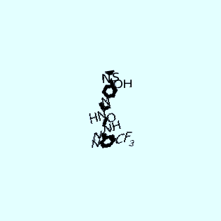 O=C(CNc1ncnc2ccc(C(F)(F)F)cc12)NC1CN([C@H]2CC[C@](O)(c3nccs3)CC2)C1